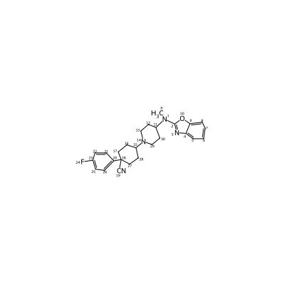 CN(c1nc2ccccc2o1)C1CCN(C2CCC(C#N)(c3ccc(F)cc3)CC2)CC1